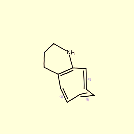 C1=C\C2=C(/C=C/C=C/1)NCCC2